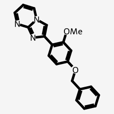 COc1cc(OCc2ccccc2)ccc1-c1cn2cccnc2n1